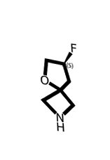 F[C@@H]1COC2(CNC2)C1